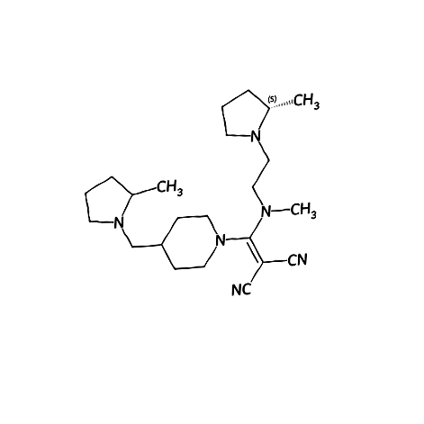 CC1CCCN1CC1CCN(C(=C(C#N)C#N)N(C)CCN2CCC[C@@H]2C)CC1